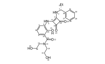 CC[C@@H](Nc1c(Nc2cccc(C(=O)N(CCO)CCO)c2O)c(=O)c1=O)c1ccccc1